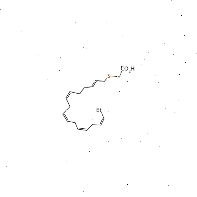 CC/C=C\C/C=C\C/C=C\C/C=C\CC/C=C/CSCC(=O)O